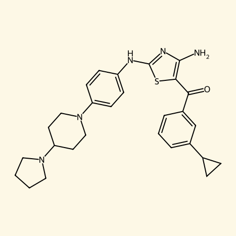 Nc1nc(Nc2ccc(N3CCC(N4CCCC4)CC3)cc2)sc1C(=O)c1cccc(C2CC2)c1